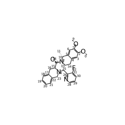 COc1cc2c(cc1OC)[C@@H](C)N(C(=O)C1Cc3ccccc3CN1Cc1ncccc1F)CC2